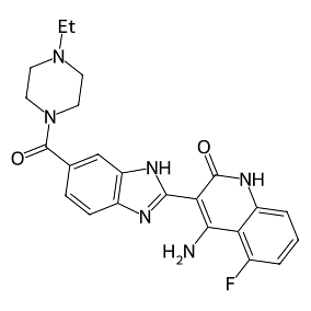 CCN1CCN(C(=O)c2ccc3nc(-c4c(N)c5c(F)cccc5[nH]c4=O)[nH]c3c2)CC1